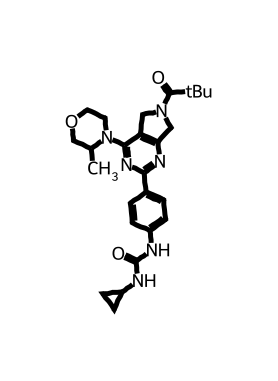 CC1COCCN1c1nc(-c2ccc(NC(=O)NC3CC3)cc2)nc2c1CN(C(=O)C(C)(C)C)C2